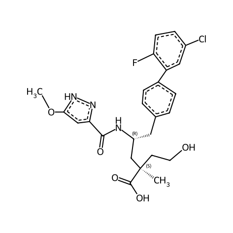 COc1cc(C(=O)N[C@H](Cc2ccc(-c3cc(Cl)ccc3F)cc2)C[C@@](C)(CCO)C(=O)O)n[nH]1